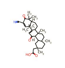 CC1(C)C(=O)C(C#N)=C[C@]2(C)C3=CC(=O)[C@@H]4C5C[C@@](C)(CC(=O)O)CC[C@]5(C)CC[C@@]4(C)[C@]3(C)CC[C@@H]12